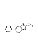 Cc1nc2cc(-c3ccccc3)ccc2s1